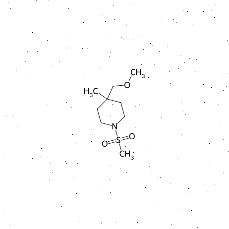 COCC1(C)CCN(S(C)(=O)=O)CC1